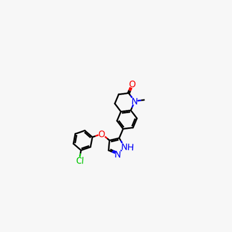 CN1C(=O)CCc2cc(-c3[nH]ncc3Oc3cccc(Cl)c3)ccc21